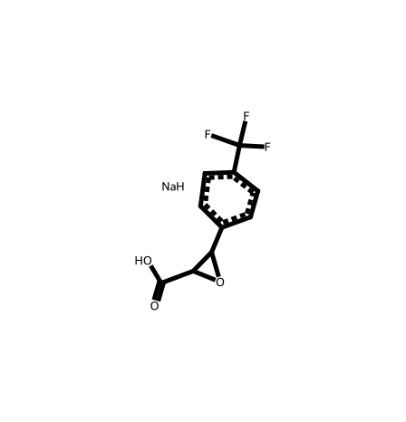 O=C(O)C1OC1c1ccc(C(F)(F)F)cc1.[NaH]